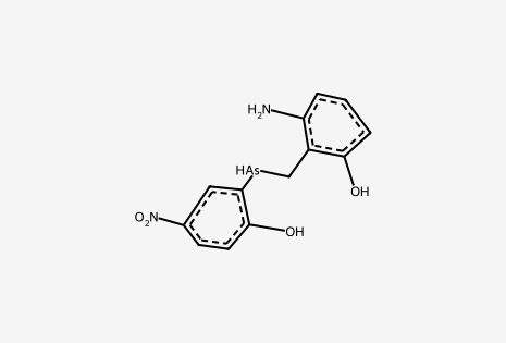 Nc1cccc(O)c1C[AsH]c1cc([N+](=O)[O-])ccc1O